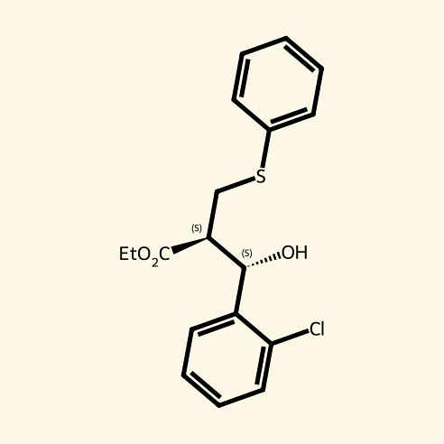 CCOC(=O)[C@@H](CSc1ccccc1)[C@H](O)c1ccccc1Cl